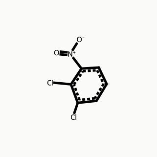 O=[N+]([O-])c1[c][c]cc(Cl)c1Cl